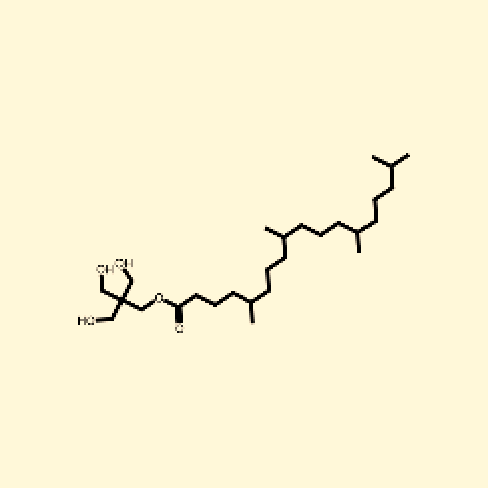 CC(C)CCCC(C)CCCC(C)CCCC(C)CCCC(=O)OCC(CO)(CO)CO